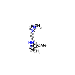 COc1cc(NCCCCCCN2CCCN(C)CC2)c2nccc(C)c2c1